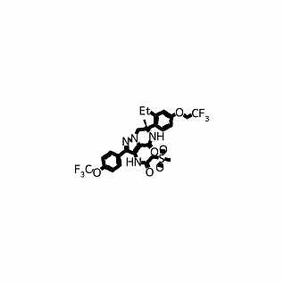 CCc1cc(OCC(F)(F)F)ccc1[C@@]1(C)Cn2nc(-c3ccc(OC(F)(F)F)cc3)c(NC(=O)CS(C)(=O)=O)c2C(=O)N1